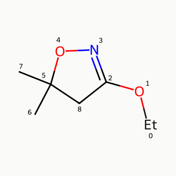 CCOC1=NOC(C)(C)C1